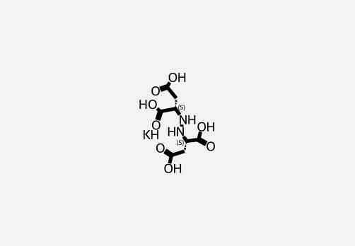 O=C(O)C[C@H](NN[C@@H](CC(=O)O)C(=O)O)C(=O)O.[KH]